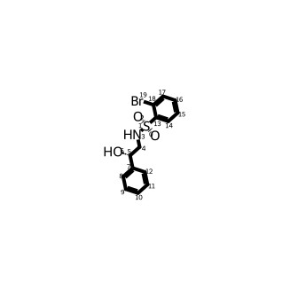 O=S(=O)(NC[C@@H](O)c1ccccc1)c1ccccc1Br